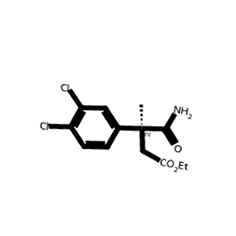 CCOC(=O)C[C@](C)(C(N)=O)c1ccc(Cl)c(Cl)c1